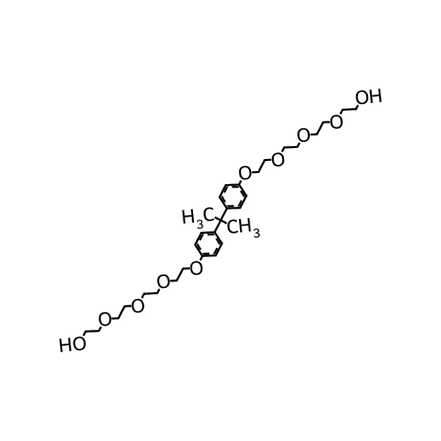 CC(C)(c1ccc(OCCOCCOCCOCCO)cc1)c1ccc(OCCOCCOCCOCCO)cc1